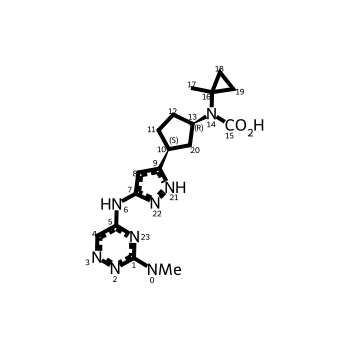 CNc1nncc(Nc2cc([C@H]3CC[C@@H](N(C(=O)O)C4(C)CC4)C3)[nH]n2)n1